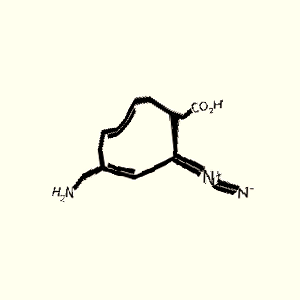 [N-]=[N+]=C1C=C(N)C=CC1C(=O)O